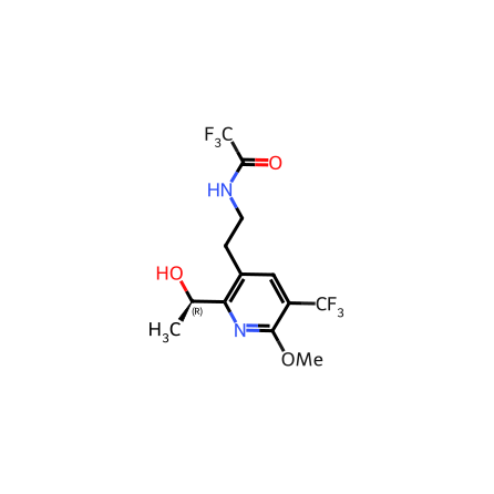 COc1nc([C@@H](C)O)c(CCNC(=O)C(F)(F)F)cc1C(F)(F)F